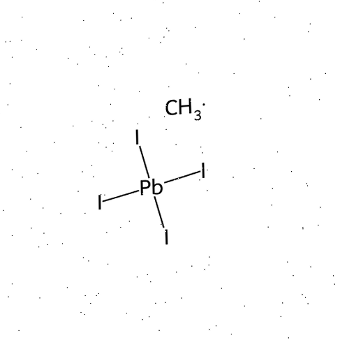 [CH3].[I][Pb]([I])([I])[I]